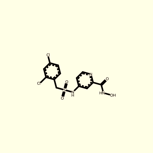 O=C(NO)c1cc(NS(=O)(=O)Cc2ccc(Cl)cc2Cl)ccn1